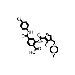 CN1CCN(Cc2csc(C(=O)Nc3cc(C(=O)Nc4ccc(Cl)cc4)ccc3C(=O)O)c2Cl)CC1